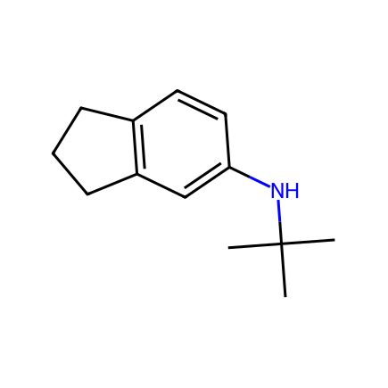 CC(C)(C)Nc1ccc2c(c1)CCC2